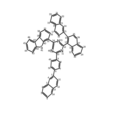 c1ccc2cc(-c3ccc(-c4nc(-c5c(-c6ccc7ccccc7c6)ccc6ccccc56)nc(-c5cccc6c5sc5ccccc56)n4)cc3)ccc2c1